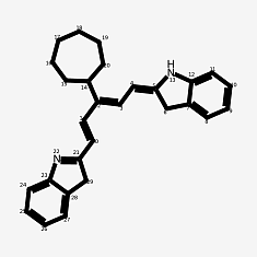 C(=C/C(=C/C=C1\Cc2ccccc2N1)C1CCCCCC1)\C1=Nc2ccccc2C1